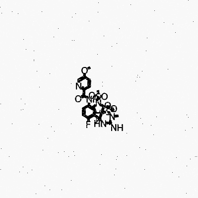 COc1ccc(C(=O)Nc2ccc(F)c([C@@]3(C)NC(=N)N(C)S(=O)(=O)[C@]34CCN(S(C)(=O)=O)C4)c2)nc1